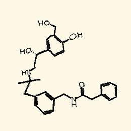 CC(C)(Cc1cccc(CNC(=O)Cc2ccccc2)c1)NC[C@H](O)c1ccc(O)c(CO)c1